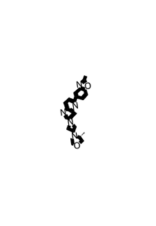 Cc1nc2cc(-c3ccc4ncc(N5CC(N6CCOC[C@H]6C)C5)cc4n3)ccc2o1